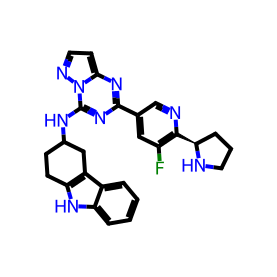 Fc1cc(-c2nc(NC3CCc4[nH]c5ccccc5c4C3)n3nccc3n2)cnc1[C@H]1CCCN1